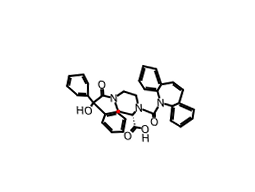 O=C(O)[C@@H]1CN(C(=O)C(O)(c2ccccc2)c2ccccc2)CCN1C(=O)N1c2ccccc2C=Cc2ccccc21